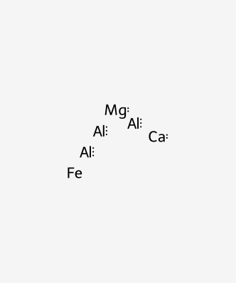 [Al].[Al].[Al].[Ca].[Fe].[Mg]